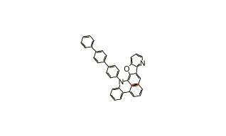 c1ccc(-c2ccc(-c3ccc(N(c4ccccc4-c4ccccc4)c4cccc5c4oc4cccnc45)cc3)cc2)cc1